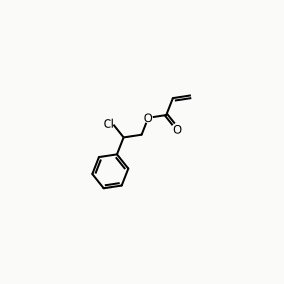 C=CC(=O)OCC(Cl)c1ccccc1